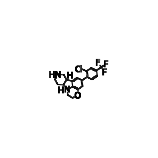 FC(F)(F)c1ccc(-c2cc3c4c(c2)[C@@H]2CNCC[C@@H]2N4CCO3)c(Cl)c1